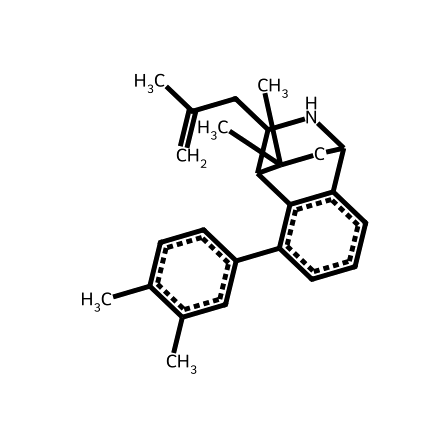 C=C(C)CC1NC2CC(C)(C)C1c1c(-c3ccc(C)c(C)c3)cccc12